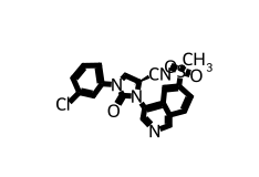 CS(=O)(=O)c1ccc2cncc(N3C(=O)N(c4cccc(Cl)c4)C[C@H]3C#N)c2c1